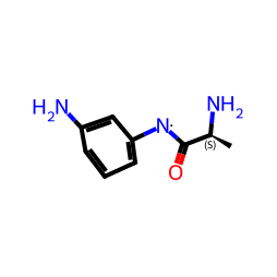 C[C@H](N)C(=O)[N]c1cccc(N)c1